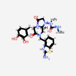 CCCCNC(=O)N(CCC)N1CC(=O)N2[C@@H](Cc3ccc(O)c(O)c3)C(=O)N(Cc3cccc4sc(N)nc34)C[C@@H]21